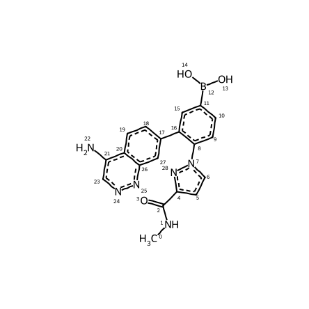 CNC(=O)c1ccn(-c2ccc(B(O)O)cc2-c2ccc3c(N)cnnc3c2)n1